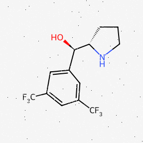 O[C@H](c1cc(C(F)(F)F)cc(C(F)(F)F)c1)[C@@H]1CCCN1